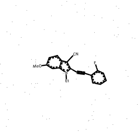 CCn1c(C#Cc2ccccc2F)c(C#N)c2ccc(OC)cc21